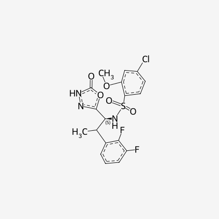 COc1cc(Cl)ccc1S(=O)(=O)N[C@H](c1n[nH]c(=O)o1)C(C)c1cccc(F)c1F